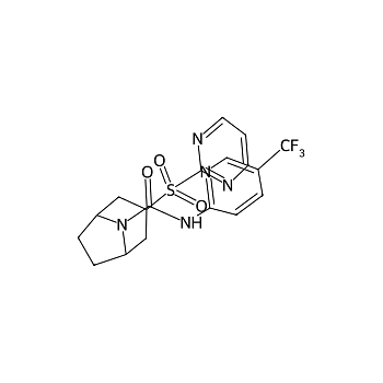 O=C(Nc1ccc(C(F)(F)F)cn1)N1C2CCC1CC(S(=O)(=O)c1ncccn1)C2